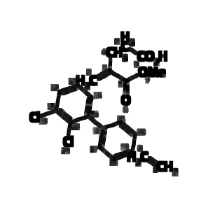 C=C.C=C(C)C(=O)OC.CC(=O)O.Clc1cccc(-c2ccccc2)c1Cl